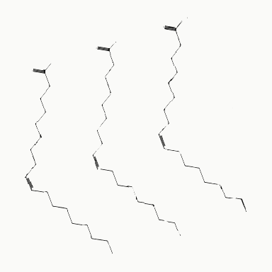 CCCCCCCC/C=C\CCCCCCCC(=O)[O-].CCCCCCCC/C=C\CCCCCCCC(=O)[O-].CCCCCCCC/C=C\CCCCCCCC(=O)[O-].[Ga+3]